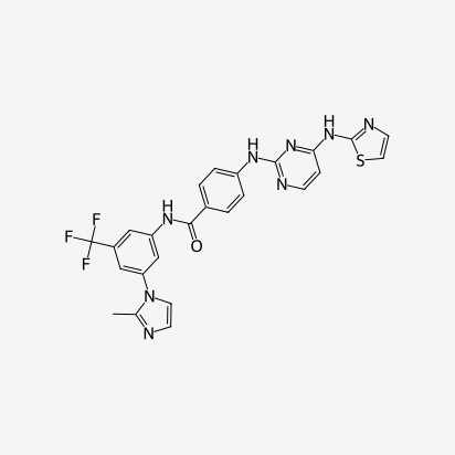 Cc1nccn1-c1cc(NC(=O)c2ccc(Nc3nccc(Nc4nccs4)n3)cc2)cc(C(F)(F)F)c1